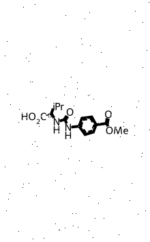 COC(=O)c1ccc(NC(=O)N[C@H](C(=O)O)C(C)C)cc1